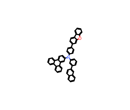 c1cc(-c2ccc3ccccc3c2)cc(N(c2ccc(-c3ccc4c(c3)oc3ccccc34)cc2)c2ccc3c4ccccc4c4ccccc4c3c2)c1